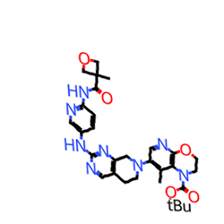 Cc1c(N2CCc3cnc(Nc4ccc(NC(=O)C5(C)COC5)nc4)nc3C2)cnc2c1N(C(=O)OC(C)(C)C)CCO2